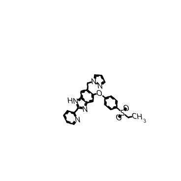 CCS(=O)(=O)c1ccc(Oc2cc3nc(-c4ccccn4)[nH]c3cc2Cn2cccn2)cc1